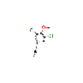 CC#Cc1cc(Cl)c(OC)c(Cl)c1